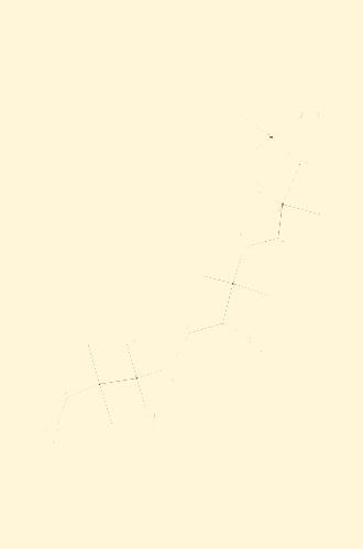 CCCC(C)(C)CC(C)(C)COC(C)(CC)C(CC)COC(C)(CC)C(C)(C)CO